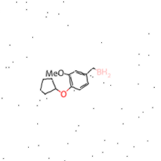 BCc1ccc(OC2CCCC2)c(OC)c1